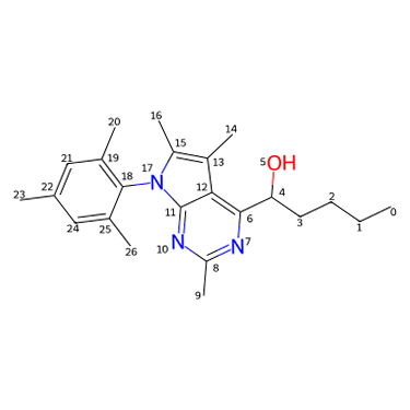 CCCCC(O)c1nc(C)nc2c1c(C)c(C)n2-c1c(C)cc(C)cc1C